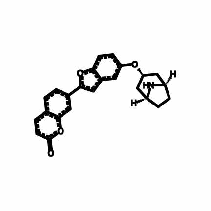 O=c1ccc2ccc(-c3cc4cc(O[C@@H]5C[C@H]6CC[C@@H](C5)N6)ccc4o3)cc2o1